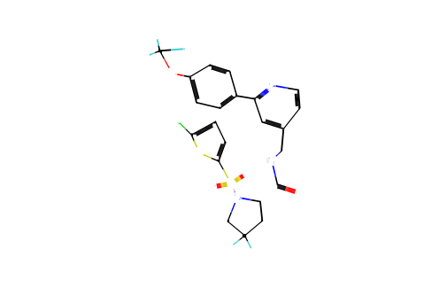 O=C(NCc1ccnc(-c2ccc(OC(F)(F)F)cc2)c1)[C@@H]1CC(F)(F)CN1S(=O)(=O)c1ccc(Cl)s1